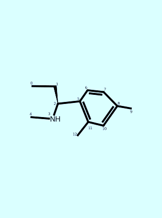 CC[C@H](NC)c1ccc(C)cc1C